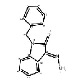 N/N=C1/C(=O)N(Cc2ccccc2)c2ccccc21